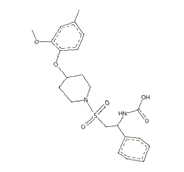 COc1cc(C)ccc1OC1CCN(S(=O)(=O)CC(NC(=O)O)c2ccccc2)CC1